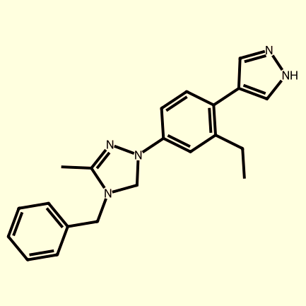 CCc1cc(N2CN(Cc3ccccc3)C(C)=N2)ccc1-c1cn[nH]c1